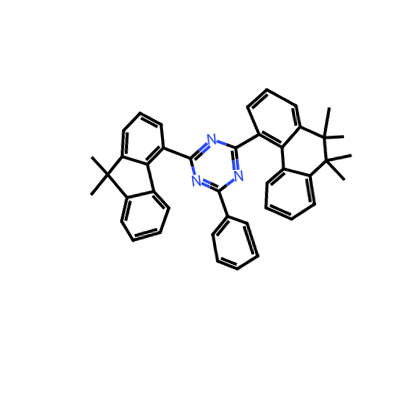 CC1(C)c2ccccc2-c2c(-c3nc(-c4ccccc4)nc(-c4cccc5c4-c4ccccc4C(C)(C)C5(C)C)n3)cccc21